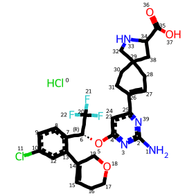 Cl.Nc1nc(O[C@H](c2ccc(Cl)cc2C2=CCCOC2)C(F)(F)F)cc(C2=CCC3(CC2)CNC(C(=O)O)C3)n1